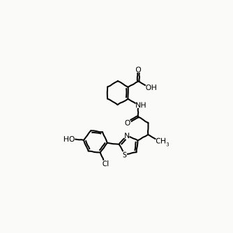 CC(CC(=O)NC1=C(C(=O)O)CCCC1)c1csc(-c2ccc(O)cc2Cl)n1